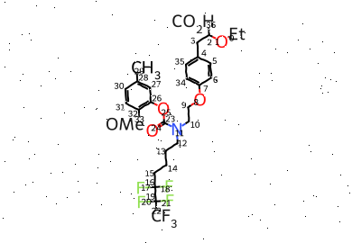 CCOC(Cc1ccc(OCCN(CCCCC(F)(F)C(F)(F)C(F)(F)F)C(=O)Oc2cc(C)ccc2OC)cc1)C(=O)O